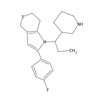 CCC(C1CCCNC1)n1c(-c2ccc(F)cc2)cc2c1CCSC2